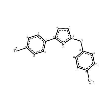 CC(C)c1ccc(-c2[c]cn(Cc3ccc(C(F)(F)F)cc3)n2)cc1